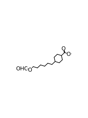 [O]C(=O)C1CCC(CCCCCCOC=O)CC1